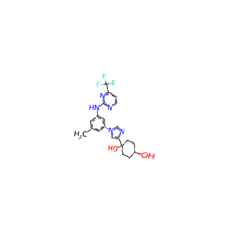 Cc1cc(Nc2nccc(C(F)(F)F)n2)cc(-n2cnc([C@]3(O)CC[C@@H](O)CC3)c2)c1